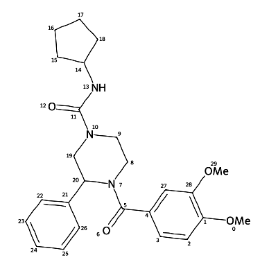 COc1ccc(C(=O)N2CCN(C(=O)NC3CCCC3)CC2c2ccccc2)cc1OC